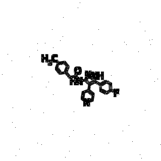 Cc1ccc(CC(=O)Nc2n[nH]c(-c3ccc(F)cc3)c2-c2ccncc2)cc1